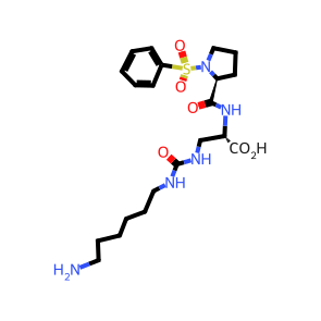 NCCCCCCNC(=O)NC[C@H](NC(=O)[C@@H]1CCCN1S(=O)(=O)c1ccccc1)C(=O)O